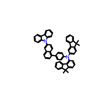 CC1(C)c2ccccc2-c2cc(N(c3ccc(-c4cccc5cc(-n6c7ccccc7c7ccccc76)ccc45)cc3)c3cccc4c3-c3ccccc3C4(C)C)ccc21